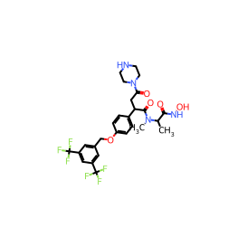 CC(C(=O)NO)N(C)C(=O)C(CC(=O)N1CCNCC1)c1ccc(OCc2cc(C(F)(F)F)cc(C(F)(F)F)c2)cc1